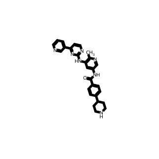 Cc1ncc(NC(=O)c2ccc(C3CCNCC3)cc2)cc1Nc1nccc(-c2cccnc2)n1